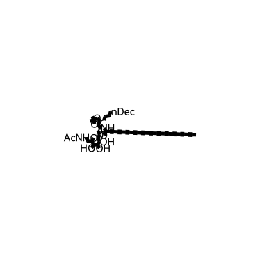 CC#CC#CC#CC#CC#CC#CC#CC#CC#CC#CC#CC(=O)N[C@@H](COC1OC(CNC(C)=O)C(O)C(O)C1O)[C@@H]1OC(C)(C)O[C@@H]1CCCCCCCCCCCCCC